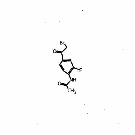 CC(=O)Nc1ccc(C(=O)CBr)cc1F